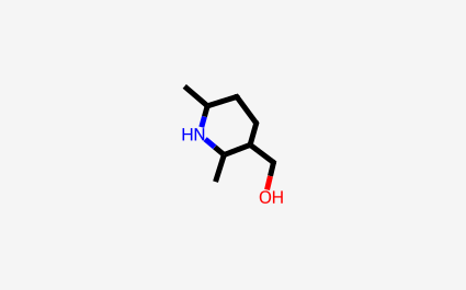 CC1CCC(CO)C(C)N1